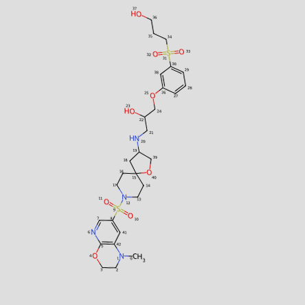 CN1CCOc2ncc(S(=O)(=O)N3CCC4(CC3)CC(NCC(O)COc3cccc(S(=O)(=O)CCCO)c3)CO4)cc21